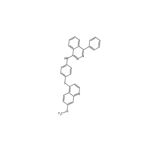 FC(F)(F)Oc1ccc2c(Sc3ccc(Nc4nnc(-c5ccccc5)c5ccccc45)cc3)ccnc2c1